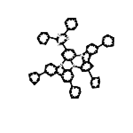 c1ccc(-c2ccc3c(c2)c2cc(-c4ccccc4)cc4c2n3-c2cc(-c3nc(-c5ccccc5)nc(-c5ccccc5)n3)cc3c2B4c2cc(-c4ccccc4)cc4c5cc(-c6ccccc6)ccc5n-3c24)cc1